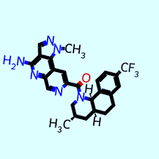 C[C@@H]1C[C@@H]2CCc3cc(C(F)(F)F)ccc3[C@@H]2N(C(=O)c2cc3c(cn2)nc(N)c2cnn(C)c23)C1